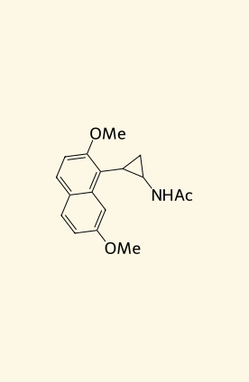 COc1ccc2ccc(OC)c(C3CC3NC(C)=O)c2c1